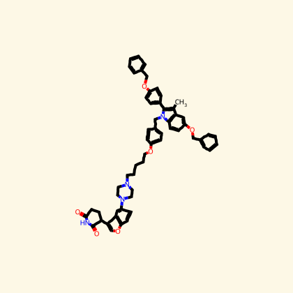 Cc1c(-c2ccc(OCc3ccccc3)cc2)n(Cc2ccc(OCCCCCN3CCN(c4ccc5occ(C6CCC(=O)NC6=O)c5c4)CC3)cc2)c2ccc(OCc3ccccc3)cc12